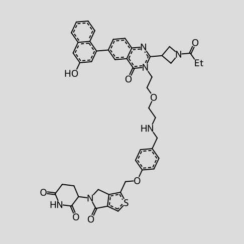 CCC(=O)N1CC(c2nc3ccc(-c4cc(O)cc5ccccc45)cc3c(=O)n2CCOCCNCc2ccc(OCc3scc4c3CN(C3CCC(=O)NC3=O)C4=O)cc2)C1